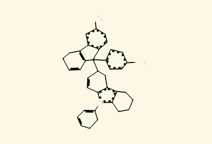 Cc1ccc(C2(C3C=Cc4c(c5c(n4C4=CC=CCC4)CCCC5)C3)C3=C(CCC=C3)c3cc(C#N)ccc32)cc1